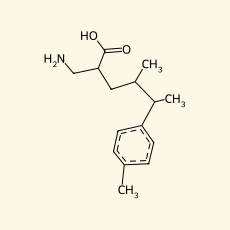 Cc1ccc(C(C)C(C)CC(CN)C(=O)O)cc1